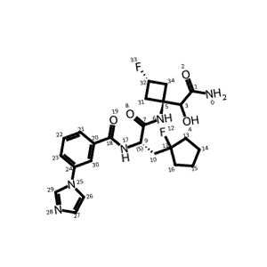 NC(=O)C(O)[C@]1(NC(=O)[C@H](CC2(F)CCCC2)NC(=O)c2cccc(-n3ccnc3)c2)C[C@H](F)C1